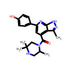 Cc1n[nH]c2nc(-c3ccc(O)cc3)cc(C(=O)N3CC(C)(C)NCC3C)c12